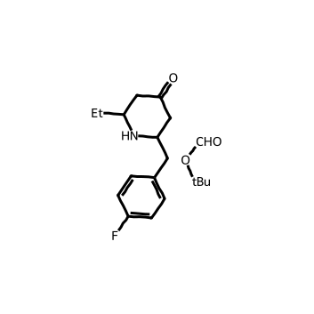 CC(C)(C)OC=O.CCC1CC(=O)CC(Cc2ccc(F)cc2)N1